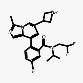 Cc1ncc2c(-c3ccc(F)cc3C(=O)N(CC(F)F)C(C)C)cc(C3CNC3)cn12